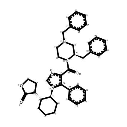 O=C1OCCC1[C@H]1CCCC[C@@H]1n1cnc(C(=O)N2CCN(Cc3ccccc3)C[C@H]2Cc2ccccc2)c1-c1ccccc1